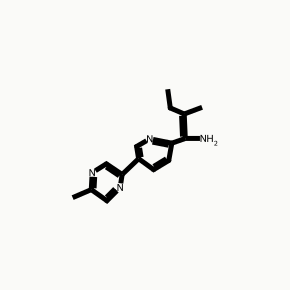 CC/C(C)=C(/N)c1ccc(-c2cnc(C)cn2)cn1